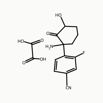 N#Cc1ccc(C2(N)CCCC(O)C2=O)c(F)c1.O=C(O)C(=O)O